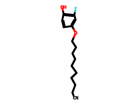 N#CCCCCCCCCCOc1ccc(O)c(F)c1